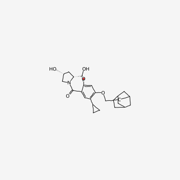 O=C(O)[C@H]1C[C@@H](O)CN1C(=O)c1cc(C2CC2)c(OCC23CC4CC(CC2C4)C3)cc1F